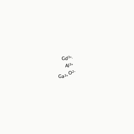 [Al+3].[Ga+3].[Gd+3].[O-2]